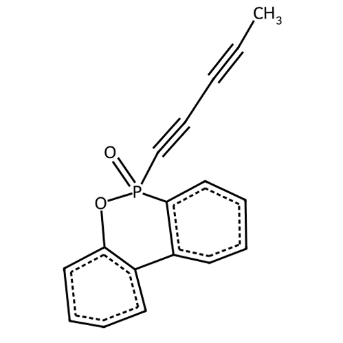 CC#CC#CP1(=O)Oc2ccccc2-c2ccccc21